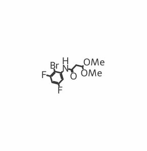 COC(CC(=O)Nc1cc(F)cc(F)c1Br)OC